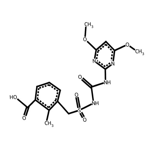 COc1cc(OC)nc(NC(=O)NS(=O)(=O)Cc2cccc(C(=O)O)c2C)n1